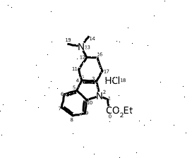 CCOC(=O)Cn1c2c(c3ccccc31)CC(N(C)C)CC2.Cl